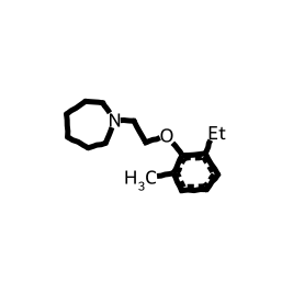 CCc1cccc(C)c1OCCN1CCCCCC1